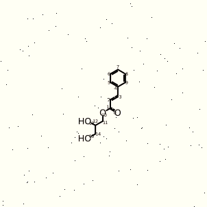 O=C(/C=C/c1ccccc1)OCC(O)CO